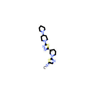 [C-]#[N+]c1cnc(N2CCC[C@@H](c3nnc(N4CCC(N5CCCCC5)CC4)s3)C2)s1